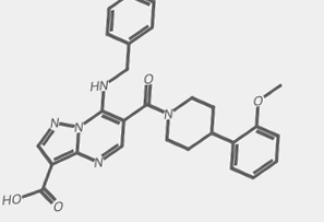 COc1ccccc1C1CCN(C(=O)c2cnc3c(C(=O)O)cnn3c2NCc2ccccc2)CC1